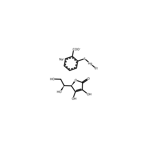 C[CH2][Hg][S]c1ccccc1C(=O)[O-].O=C1O[C@H]([C@@H](O)CO)C(O)=C1O.[Na+]